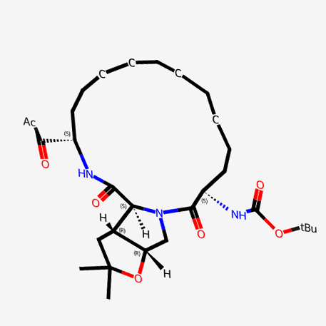 CC(=O)C(=O)[C@@H]1CCCCCCCCCC[C@H](NC(=O)OC(C)(C)C)C(=O)N2C[C@@H]3OC(C)(C)C[C@@H]3[C@H]2C(=O)N1